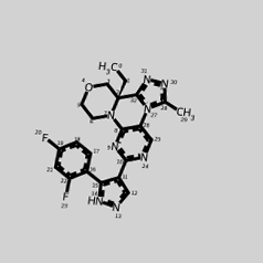 CC[C@]12COCCN1c1nc(-c3cn[nH]c3-c3ccc(F)cc3F)ncc1-n1c(C)nnc12